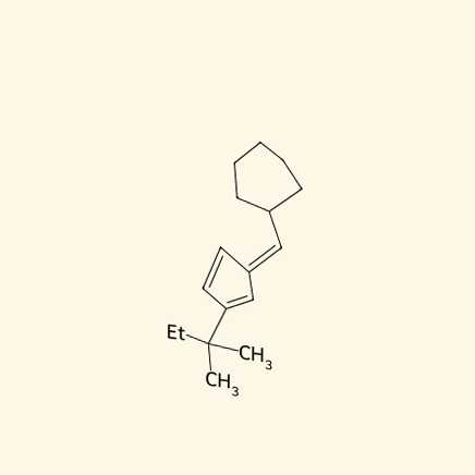 CCC(C)(C)C1=CC(=CC2CCCCC2)C=C1